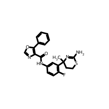 CC1(c2cc(NC(=O)c3ncoc3-c3ccccc3)ccc2F)CCSC(N)=N1